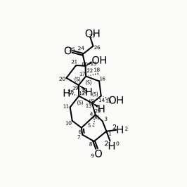 [2H]C1([2H])C[C@@]2(C)C(=CC1=O)CC[C@@H]1[C@@H]2[C@@H](O)C[C@@]2(C)[C@H]1CC[C@]2(O)C(=O)CO